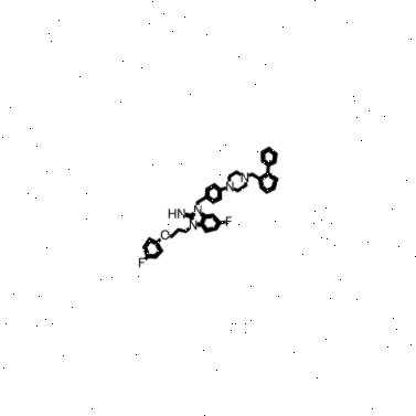 N=c1n(CCCOc2ccc(F)cc2)c2ccc(F)cc2n1Cc1ccc(N2CCN(Cc3ccccc3-c3ccccc3)CC2)cc1